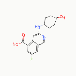 O=C(O)c1cc(F)cc2cnc(N[C@H]3CC[C@H](O)CC3)cc12